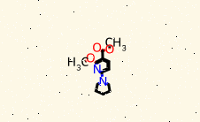 COC(=O)c1ccc(N2CCCCC2)nc1OC